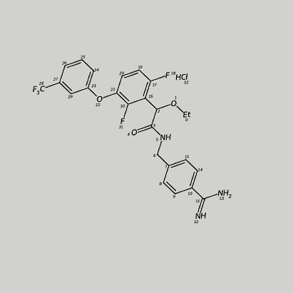 CCOC(C(=O)NCc1ccc(C(=N)N)cc1)c1c(F)ccc(Oc2cccc(C(F)(F)F)c2)c1F.Cl